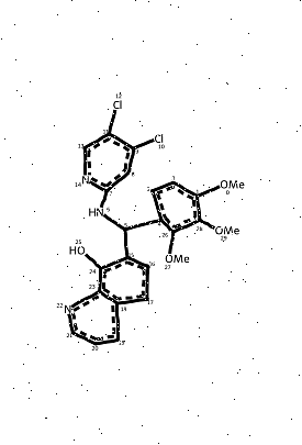 COc1ccc(C(Nc2cc(Cl)c(Cl)cn2)c2ccc3cccnc3c2O)c(OC)c1OC